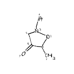 CC1ON(C(C)C)CC1=O